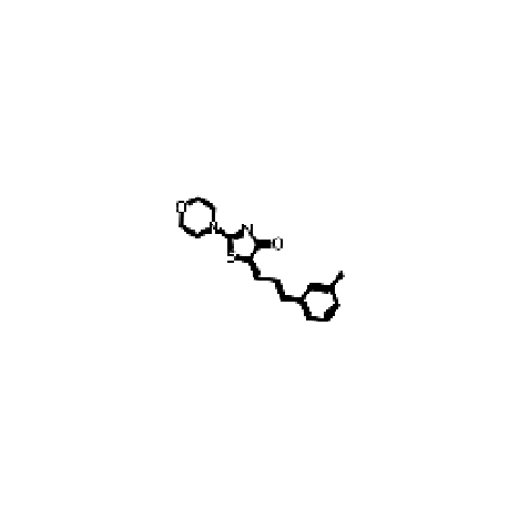 Cc1cccc(C=CC=C2SC(N3CCOCC3)=NC2=O)c1